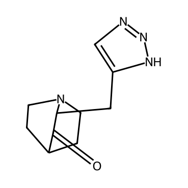 O=C1C2CCN(CC2)C1Cc1cnn[nH]1